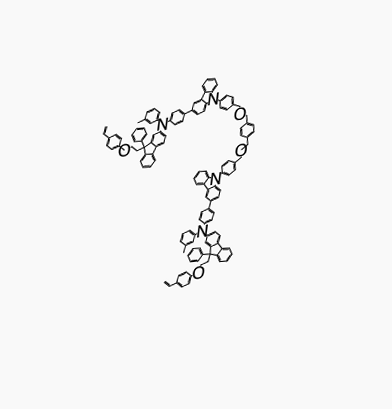 C=Cc1ccc(OCCC2(c3ccccc3)c3ccccc3-c3ccc(N(c4ccc(-c5ccc6c(c5)c5ccccc5n6-c5ccc(COCc6ccc(COCc7ccc(-n8c9ccccc9c9cc(-c%10ccc(N(c%11cccc(C)c%11)c%11ccc%12c(c%11)C(CCOc%11ccc(C=C)cc%11)(c%11ccccc%11)c%11ccccc%11-%12)cc%10)ccc98)cc7)cc6)cc5)cc4)c4cccc(C)c4)cc32)cc1